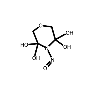 O=NN1C(O)(O)COCC1(O)O